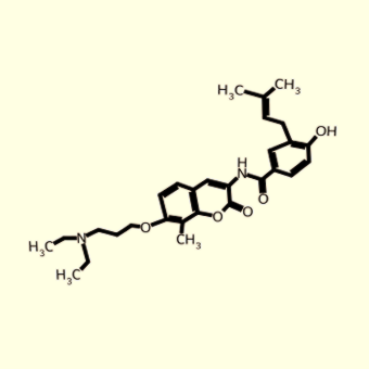 CCN(CC)CCCOc1ccc2cc(NC(=O)c3ccc(O)c(CC=C(C)C)c3)c(=O)oc2c1C